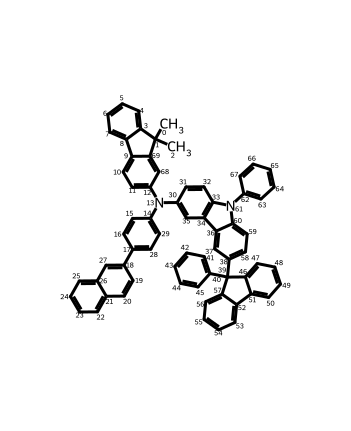 CC1(C)c2ccccc2-c2ccc(N(c3ccc(-c4ccc5ccccc5c4)cc3)c3ccc4c(c3)c3cc(C5(c6ccccc6)c6ccccc6-c6ccccc65)ccc3n4-c3ccccc3)cc21